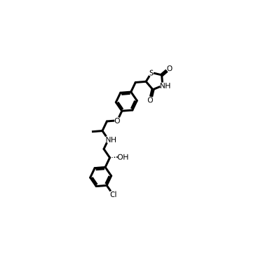 CC(COc1ccc(CC2SC(=O)NC2=O)cc1)NC[C@H](O)c1cccc(Cl)c1